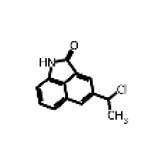 CC(Cl)c1cc2c3c(cccc3c1)NC2=O